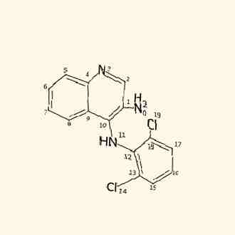 Nc1cnc2ccccc2c1Nc1c(Cl)cccc1Cl